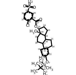 CC(C)(C)[Si](C)(C)Oc1ccc2c(c1)CCC1C2CC[C@@]2(C)C1CC[C@@H]2OC(=O)c1cc(S(N)(=O)=O)ccc1Cl